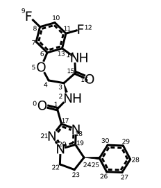 O=C(N[C@H]1COc2cc(F)cc(F)c2NC1=O)c1nc2n(n1)CC[C@@H]2c1ccccc1